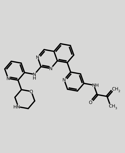 C=C(C)C(=O)Nc1ccnc(-c2cccc3cnc(Nc4cccnc4C4CNCCO4)nc23)c1